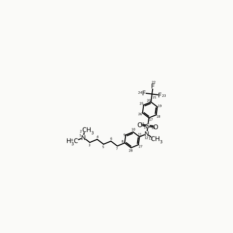 CN(C)CCCCCc1ccc(N(C)S(=O)(=O)c2ccc(C(F)(F)F)cc2)cc1